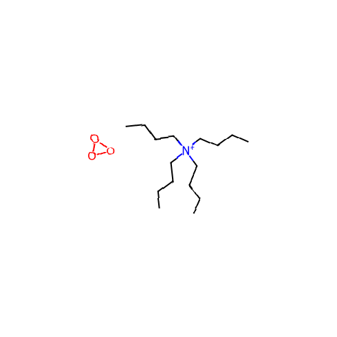 CCCC[N+](CCCC)(CCCC)CCCC.o1oo1